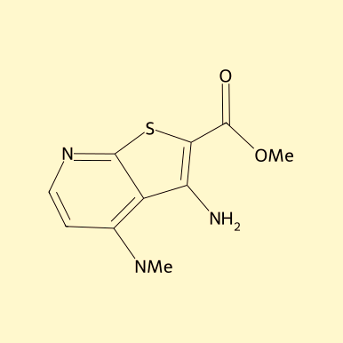 CNc1ccnc2sc(C(=O)OC)c(N)c12